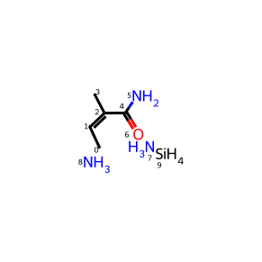 CC=C(C)C(N)=O.N.N.[SiH4]